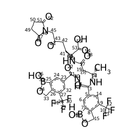 C[C@H](NC(=O)c1cc2c(c(C(F)(F)F)c1)COB2O)[C@H](NC(=O)c1cc2c(c(C(F)(F)F)c1)COB2O)C(=O)N[C@@H](CCC(=O)CN1C(=O)CCC1=O)C(=O)O